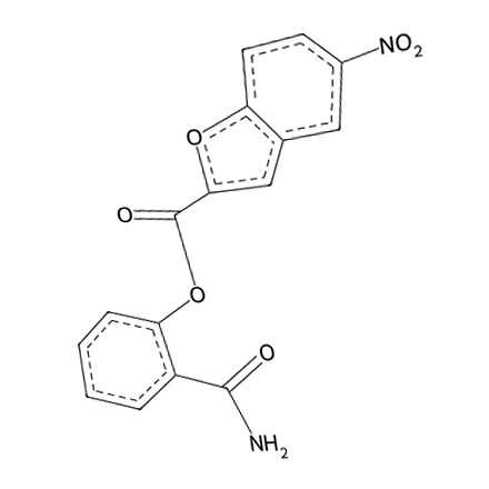 NC(=O)c1ccccc1OC(=O)c1cc2cc([N+](=O)[O-])ccc2o1